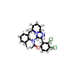 CC(=O)N(c1c(C)cccc1C)c1c(-c2cccc(Cl)c2Cl)nc2cccc(C)n12